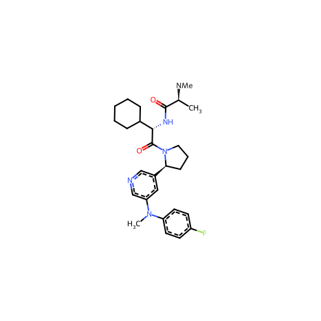 CN[C@@H](C)C(=O)N[C@H](C(=O)N1CCC[C@H]1c1cncc(N(C)c2ccc(F)cc2)c1)C1CCCCC1